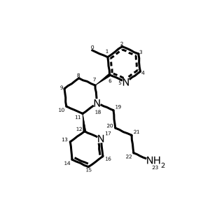 Cc1cccnc1[C@@H]1CCC[C@H](C2CC=CC=N2)N1CCCCN